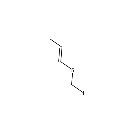 C/C=C/SCI